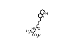 NC(CNC(=O)CCCCc1ccc2c(n1)NCCC2)C(=O)O